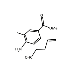 C=CCCC=O.COC(=O)c1ccc(N)c(C)c1